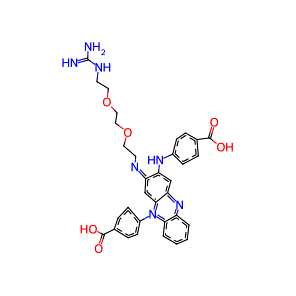 N=C(N)NCCOCCOCC/N=c1/cc2n(-c3ccc(C(=O)O)cc3)c3ccccc3nc-2cc1Nc1ccc(C(=O)O)cc1